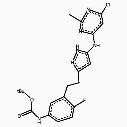 Cc1nc(Cl)cc(Nc2cc(CCc3cc(NC(=O)OC(C)(C)C)ccc3F)n[nH]2)n1